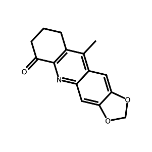 Cc1c2c(nc3cc4c(cc13)OCO4)C(=O)CCC2